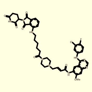 COc1cc2ncnc(Nc3ccc(F)c(Cl)c3)c2cc1NC(=O)/C=C/CN1CCN(C(=O)CCCCCNc2cccc3c2C(=O)N(C2CCC(=O)NC2=O)C3=O)CC1